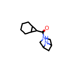 O=C(C1C2CCCCC21)N1CC2CC(C1)N2